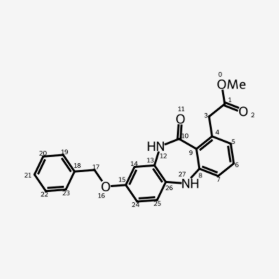 COC(=O)Cc1cccc2c1C(=O)Nc1cc(OCc3ccccc3)ccc1N2